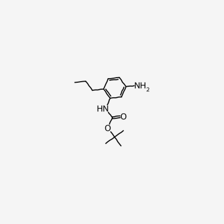 CCCc1ccc(N)cc1NC(=O)OC(C)(C)C